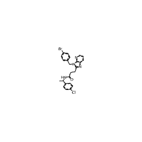 CC(NC(=O)CCc1nc2cccnc2n1Cc1ccc(Br)cc1)c1ccc(Cl)cc1